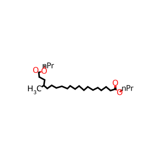 CCCOC(=O)CCCCCCCCCCCCCCCC(C)CCC(=O)OCCC